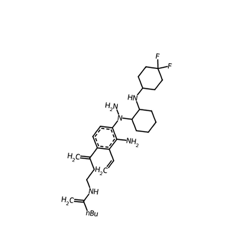 C=Cc1c(C(=C)CCNC(=C)CCCC)ccc(N(N)C2CCCCC2NC2CCC(F)(F)CC2)c1N